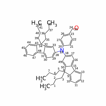 CCCCC1(CCCC)c2ccccc2-c2ccc(N(c3ccc(C=O)cc3)c3ccc4c(c3)C(CCCC)(CCCC)c3ccccc3-4)cc21